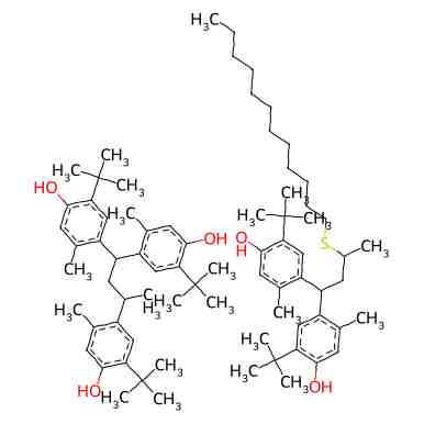 CCCCCCCCCCCCSC(C)CC(c1cc(C(C)(C)C)c(O)cc1C)c1cc(C(C)(C)C)c(O)cc1C.Cc1cc(O)c(C(C)(C)C)cc1C(C)CC(c1cc(C(C)(C)C)c(O)cc1C)c1cc(C(C)(C)C)c(O)cc1C